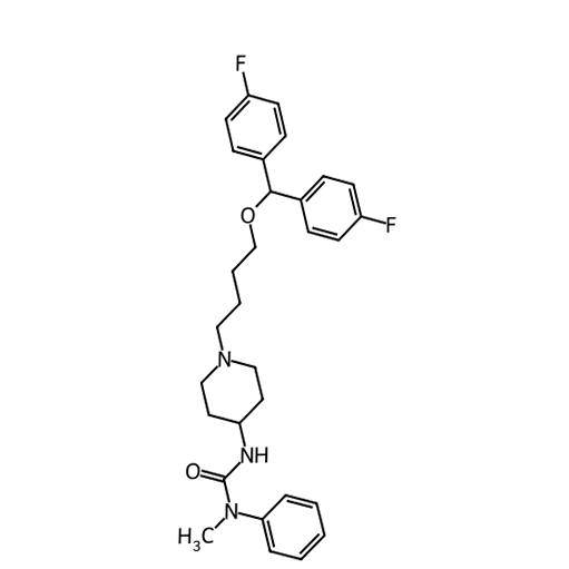 CN(C(=O)NC1CCN(CCCCOC(c2ccc(F)cc2)c2ccc(F)cc2)CC1)c1ccccc1